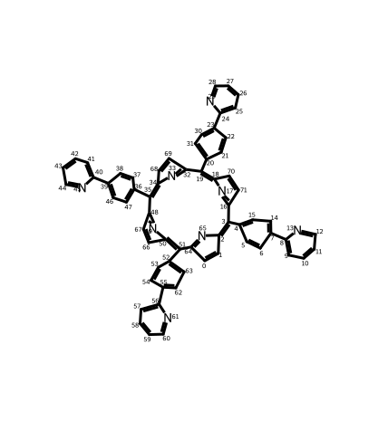 C1=CC2=C(c3ccc(-c4ccccn4)cc3)C3=NC(=C(c4ccc(-c5ccccn5)cc4)C4=NC(=C(c5ccc(-c6ccccn6)cc5)C5=NC(=C(c6ccc(-c7ccccn7)cc6)C1=N2)C=C5)C=C4)C=C3